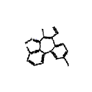 C=Cc1c(C)/c(=N/C)c2c(C)cccc2c2cc(C)ccc12